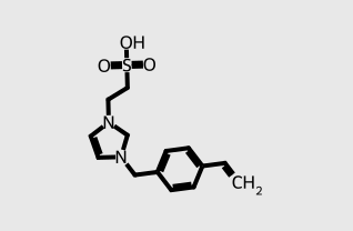 C=Cc1ccc(CN2C=CN(CCS(=O)(=O)O)C2)cc1